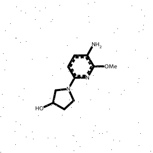 COc1nc(N2CCC(O)C2)ccc1N